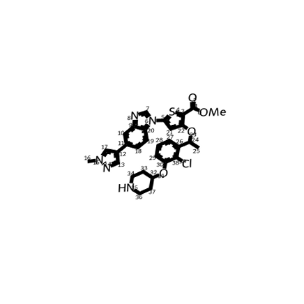 COC(=O)c1sc(-n2cnc3cc(-c4cnn(C)c4)ccc32)cc1OC(C)c1cccc(OC2CCNCC2)c1Cl